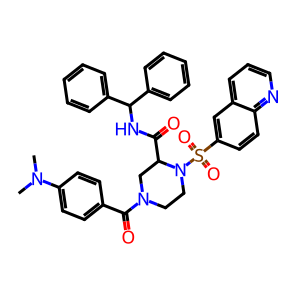 CN(C)c1ccc(C(=O)N2CCN(S(=O)(=O)c3ccc4ncccc4c3)C(C(=O)NC(c3ccccc3)c3ccccc3)C2)cc1